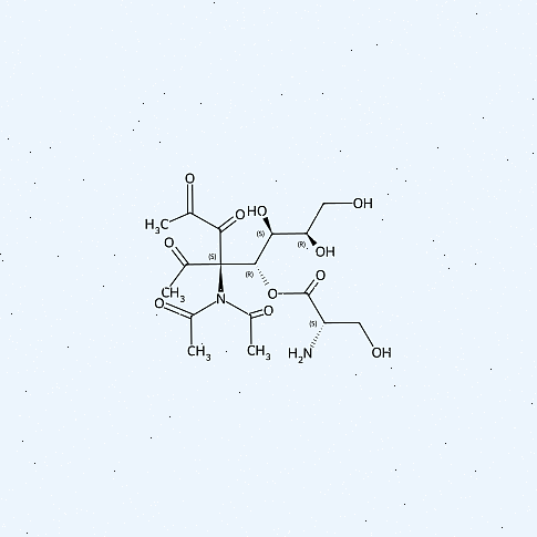 CC(=O)C(=O)[C@@](C(C)=O)([C@@H](OC(=O)[C@@H](N)CO)[C@@H](O)[C@H](O)CO)N(C(C)=O)C(C)=O